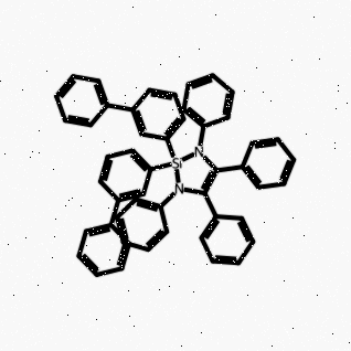 c1ccc(C2=C(c3ccccc3)N(c3ccccc3)[Si](c3cccc(-c4ccccc4)c3)(c3cccc(-c4ccccc4)c3)N2c2ccccc2)cc1